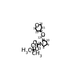 CC(C)(C)OC(=O)N1CCC[C@H]1COC1CCOCC1